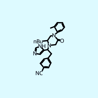 CCCCC1CN(c2ccccc2C)C(=O)CN1C(Cc1ccc(C#N)cc1)c1cnc[nH]1